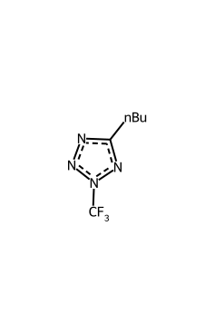 CCCCc1nnn(C(F)(F)F)n1